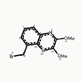 COc1nc2cccc(CBr)c2nc1OC